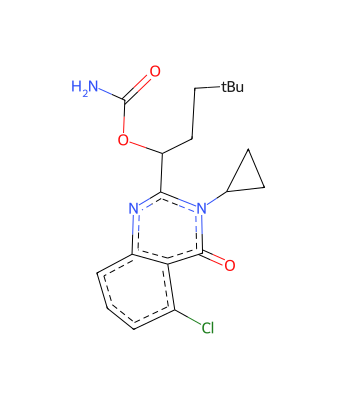 CC(C)(C)CCC(OC(N)=O)c1nc2cccc(Cl)c2c(=O)n1C1CC1